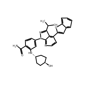 CC(C)c1nn(-c2ccc(C(N)=O)c(N[C@H]3CC[C@H](O)CC3)c2)c2nccc(-c3cc4ccccc4o3)c12